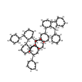 c1ccc(-c2ccc(N(c3cccc(-c4cccc5c6ccccc6n(-c6ccccc6)c45)c3)c3cccc(-c4ccccc4)c3-c3ccccc3-c3ccccc3)cc2)cc1